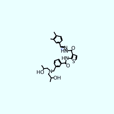 Cc1ccc(/C=N/NC(=O)c2ccsc2NC(=O)c2cccc(CN(CC(C)O)CC(C)O)c2)cc1C